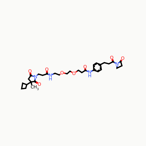 CC1(C2CCC2)CC(=O)N(CCC(=O)NCCOCCOCCC(=O)Nc2ccc(CCC(=O)N3CCC3=O)cc2)C1=O